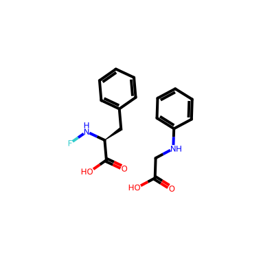 O=C(O)CNc1ccccc1.O=C(O)[C@H](Cc1ccccc1)NF